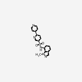 Cn1ncc2cccc(NS(=O)(=O)c3ccc(-c4ccncc4)nc3)c21